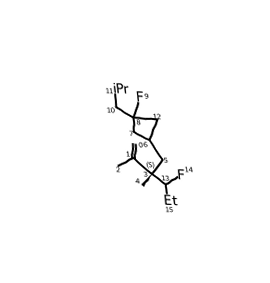 C=C(C)[C@](C)(CC1CC(F)(CC(C)C)C1)C(F)CC